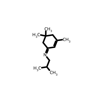 CC1=C/C(=N\CC(C)C)CC(C)(C)C1